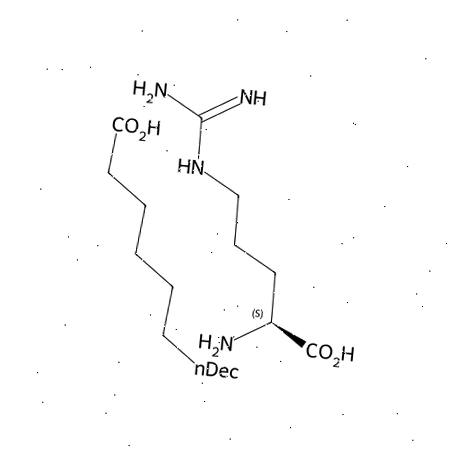 CCCCCCCCCCCCCCCC(=O)O.N=C(N)NCCC[C@H](N)C(=O)O